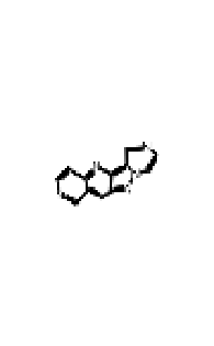 c1cc2nc3c(cc2cn1)nn1ccncc31